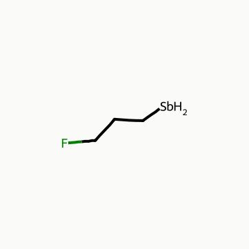 FCC[CH2][SbH2]